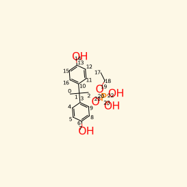 CC(C)(c1ccc(O)cc1)c1ccc(O)cc1.CCOP(=O)(O)O